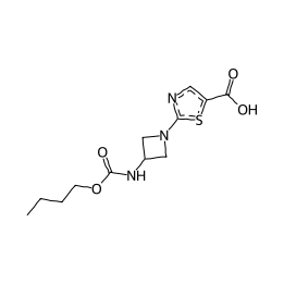 CCCCOC(=O)NC1CN(c2ncc(C(=O)O)s2)C1